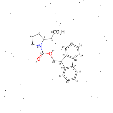 O=C(O)CC1CCCN1C(=O)OCC1c2ccccc2-c2ccccc21